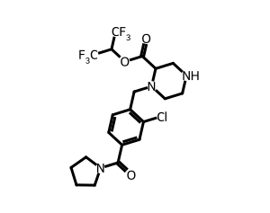 O=C(OC(C(F)(F)F)C(F)(F)F)C1CNCCN1Cc1ccc(C(=O)N2CCCC2)cc1Cl